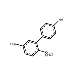 Cl.Nc1ccc(-c2cc(N)ccc2O)cc1